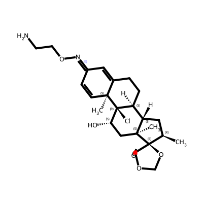 C[C@@H]1C[C@H]2[C@@H]3CCC4=C/C(=N/OCCN)C=C[C@]4(C)[C@@]3(Cl)[C@@H](O)C[C@]2(C)[C@]12OCOC21COCO1